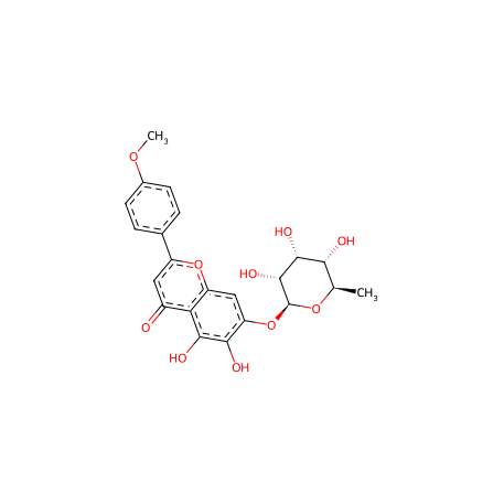 COc1ccc(-c2cc(=O)c3c(O)c(O)c(O[C@@H]4O[C@H](C)[C@@H](O)[C@@H](O)[C@H]4O)cc3o2)cc1